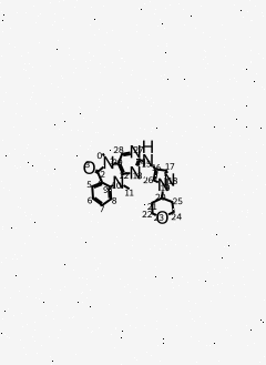 CN1C(=O)c2ccccc2N(C)c2nc(Nc3cnn(C4CCOCC4)c3)ncc21